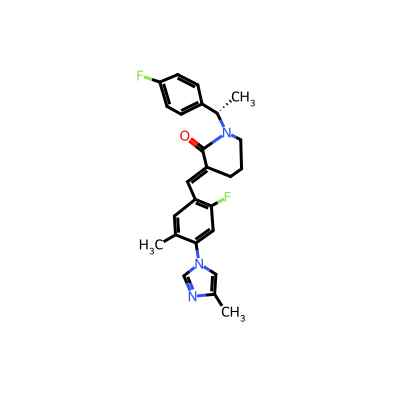 Cc1cn(-c2cc(F)c(/C=C3\CCCN([C@@H](C)c4ccc(F)cc4)C3=O)cc2C)cn1